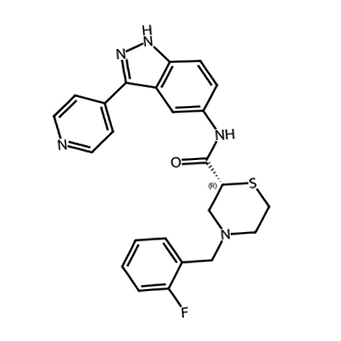 O=C(Nc1ccc2[nH]nc(-c3ccncc3)c2c1)[C@H]1CN(Cc2ccccc2F)CCS1